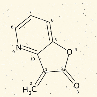 C=C1C(=O)Oc2cccnc21